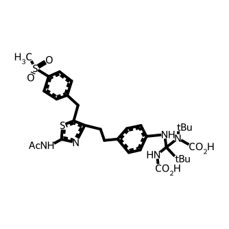 CC(=O)Nc1nc(CCc2ccc(NC(NC(=O)O)(N(C(=O)O)C(C)(C)C)C(C)(C)C)cc2)c(Cc2ccc(S(C)(=O)=O)cc2)s1